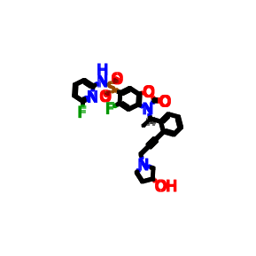 C[C@H](c1ccccc1C#CCN1CCC(O)C1)n1c(=O)oc2cc(S(=O)(=O)Nc3cccc(F)n3)c(F)cc21